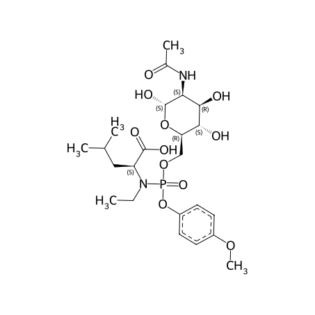 CCN([C@@H](CC(C)C)C(=O)O)P(=O)(OC[C@H]1O[C@H](O)[C@@H](NC(C)=O)[C@@H](O)[C@@H]1O)Oc1ccc(OC)cc1